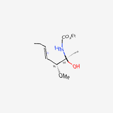 C/C=C/[C@@H](OC)[C@](C)(O)NC(=O)OCC